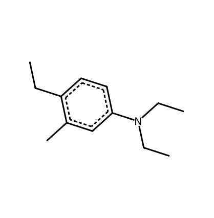 CCc1ccc(N(CC)CC)cc1C